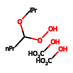 CCCC(OO)OC(C)C.O=C(O)O.O=C(O)O